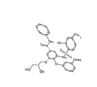 COc1cccc(Oc2c(NS(=O)(=O)c3ccc(C)cc3S)cc(C(=O)Nc3ccccc3)cc2OCC(O)CO)c1